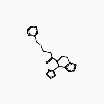 O=C(CCCCc1ccccc1)N1CCn2cccc2C1c1cccs1